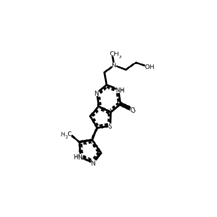 Cc1[nH]ncc1-c1cc2nc(CN(C)CCO)[nH]c(=O)c2s1